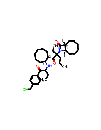 CCCC(CC)(C(=O)[C@@H]1CCCCCC[C@@H]1NC(CC)C(=O)c1ccc(CCl)cc1)N1C(=O)[C@@H]2CCCCCC[C@@H]21